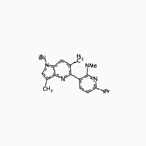 CCC(C)n1cc(C)c2nc(-c3ccc(C(C)C)nc3NC)c(C)cc21